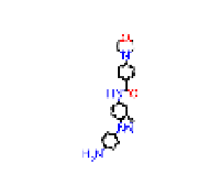 Nc1ccc(-n2ncc3cc(NC(=O)c4ccc(N5CCOCC5)cc4)ccc32)cc1